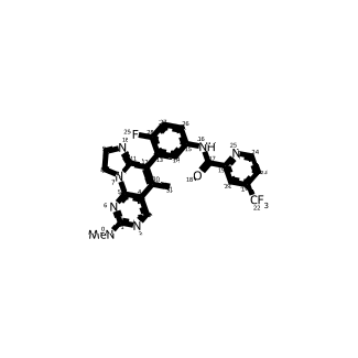 CNc1ncc2c(n1)N1CCN=C1C(c1cc(NC(=O)c3cc(C(F)(F)F)ccn3)ccc1F)=C2C